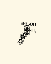 CCCC(CCO)Oc1nc(N)c2ncc(Cc3ccc(C4CCCCC4)nc3F)n2n1